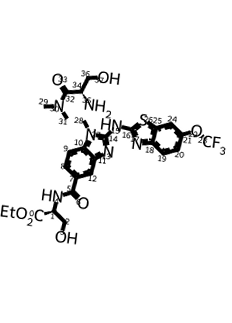 CCOC(=O)[C@H](CO)NC(=O)c1ccc2c(c1)nc(Nc1nc3ccc(OC(F)(F)F)cc3s1)n2C.CN(C)C(=O)[C@@H](N)CO